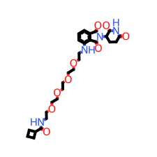 O=C1CCC(N2C(=O)c3cccc(NCCOCCOCCOCCOCCNC(=O)C4CCC4)c3C2=O)C(=O)N1